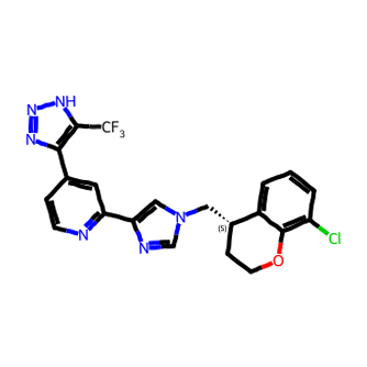 FC(F)(F)c1[nH]nnc1-c1ccnc(-c2cn(C[C@H]3CCOc4c(Cl)cccc43)cn2)c1